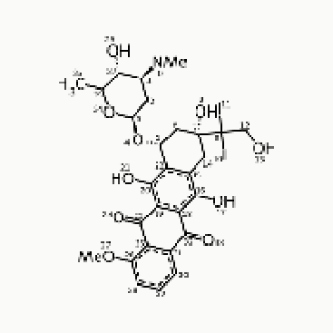 CN[C@H]1C[C@@H](O[C@@H]2C[C@@](O)(C(I)(I)CO)Cc3c(O)c4c(c(O)c32)C(=O)c2c(OC)cccc2C4=O)OC(C)[C@@H]1O